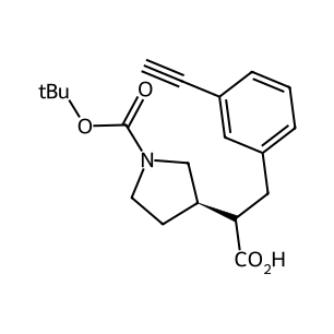 C#Cc1cccc(CC(C(=O)O)[C@H]2CCN(C(=O)OC(C)(C)C)C2)c1